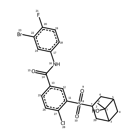 CC1(O)C2CC1CC(S(=O)(=O)c1cc(C(=O)Nc3ccc(F)c(Br)c3)ccc1Cl)C2